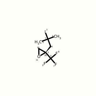 CC(C)(I)C[C@]1(C(F)(F)F)CO1